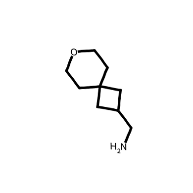 NCC1CC2(CCOCC2)C1